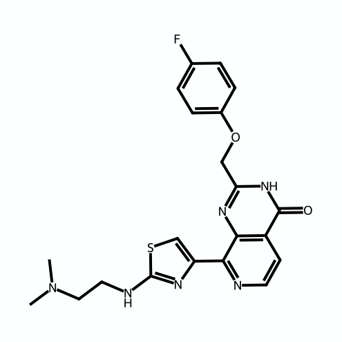 CN(C)CCNc1nc(-c2nccc3c(=O)[nH]c(COc4ccc(F)cc4)nc23)cs1